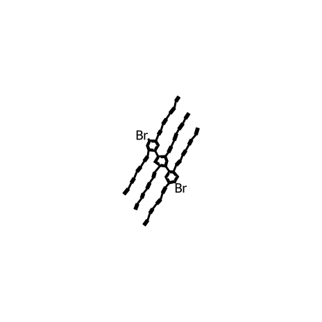 C#CC#CC#CC#Cc1cc(-c2cc(C#CC#CC#CC#C)c(-c3cc(C#CC#CC#CC#C)c(Br)cc3C#CC#CC#CC#C)cc2C#CC#CC#CC#C)c(C#CC#CC#CC#C)cc1Br